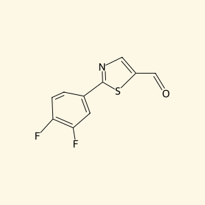 O=Cc1cnc(-c2ccc(F)c(F)c2)s1